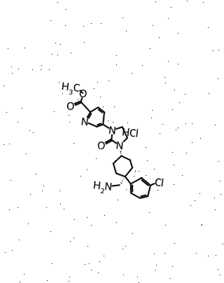 COC(=O)c1ccc(N2CCN([C@H]3CC[C@](CN)(c4cccc(Cl)c4)CC3)C2=O)cn1.Cl